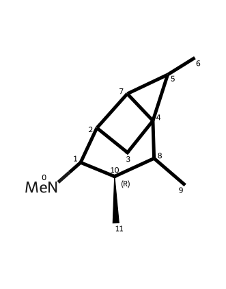 CNC1C2CC3(C(C)C23)C(C)[C@H]1C